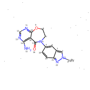 CCCn1cc2cc(N3CCOc4ncnc(N)c4C3=O)ccc2n1